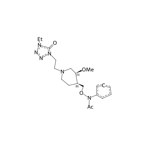 CCn1nnn(CCN2CC[C@H](CON(C(C)=O)c3ccccc3)[C@H](OC)C2)c1=O